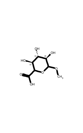 COC1OC(C(=O)O)[C@@H](O)[C@H](O)[C@H]1O